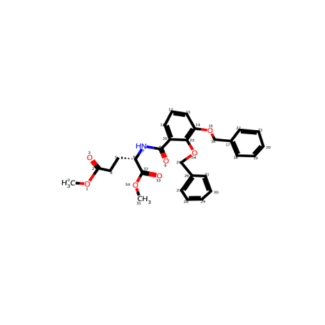 COC(=O)CC[C@H](NC(=O)c1cccc(OCc2ccccc2)c1OCc1ccccc1)C(=O)OC